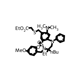 CCCCC1(CC)CN(c2ccccc2)c2cc(N(C)C)c(CSCC(=O)OCC)cc2S(=O)(=O)N1Cc1ccc(OC)cc1